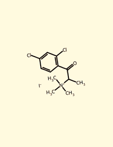 CC(C(=O)c1ccc(Cl)cc1Cl)[N+](C)(C)C.[I-]